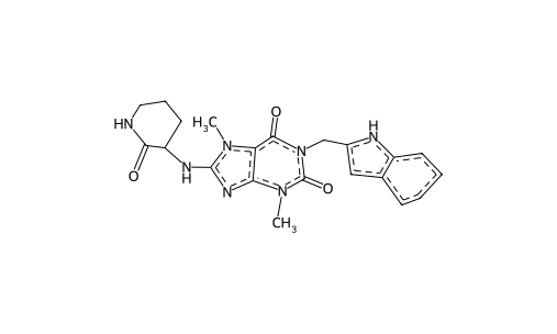 Cn1c(NC2CCCNC2=O)nc2c1c(=O)n(Cc1cc3ccccc3[nH]1)c(=O)n2C